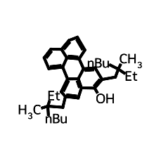 CCCCC(C)(CC)Cc1cc2c(O)c(CC(C)(CC)CCCC)cc3c4cccc5cccc(c(c1)c23)c54